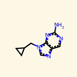 Nc1ncc2ncn(CC3CC3)c2n1